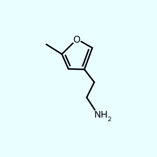 Cc1cc(CCN)co1